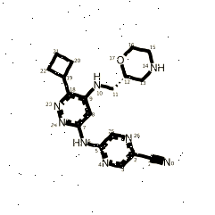 N#Cc1cnc(Nc2cc(NC[C@H]3CNCCO3)c(C3CCC3)nn2)cn1